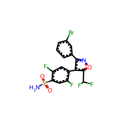 NS(=O)(=O)c1cc(F)c(-c2c(-c3cccc(Br)c3)noc2C(F)F)cc1F